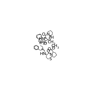 COC(=O)C1CCCC2SCCC(NC[C@H](CC[C@H](Cc3ccccc3)C(=O)N[C@@H]3C(=O)N4CCCC[C@@H]4SC3(C)C)Cc3ccccc3)C(=O)N21